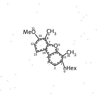 CCCCCCc1ccc2c(oc3c(C)c(OC)ccc32)c1C